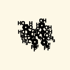 CC1(C)C(=C2C(O)C(c3c(O)cc(O)cc3O)C2O)N(CCCN2C(=C3C(O)C(c4c(O)cc(O)cc4O)C3O)C(C)(C)c3cc(C(F)(F)F)ccc32)c2ccc(C(F)(F)F)cc21